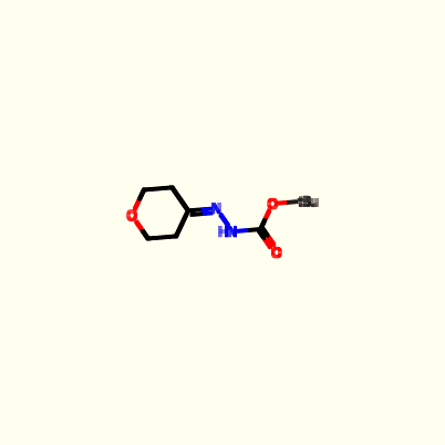 CC(C)(C)OC(=O)NN=C1CCOCC1